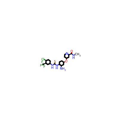 CNC(=O)c1cc(Oc2ccc(NC(=S)Nc3ccc(Cl)c(C(F)(F)F)c3)c(N)c2)ccn1